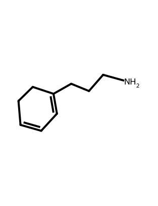 NCCCC1=CC=CCC1